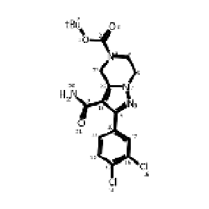 CC(C)(C)OC(=O)N1CCn2nc(-c3ccc(Cl)c(Cl)c3)c(C(N)=O)c2C1